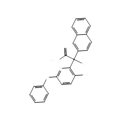 COC(=O)C(c1ccc2ccccc2c1)(c1nc(Oc2ccccc2)ccc1C#N)C(C)C